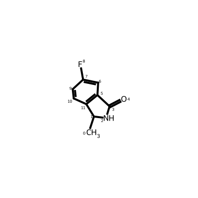 CC1NC(=O)c2cc(F)ccc21